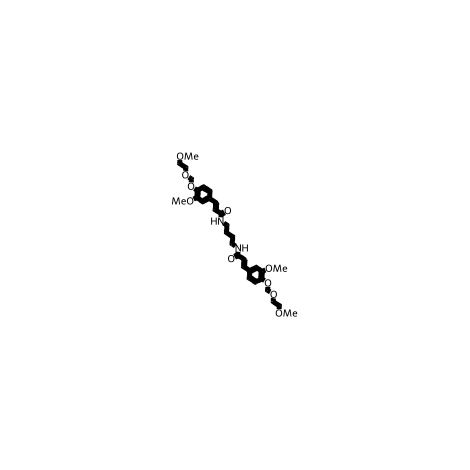 COCCOCOc1ccc(C=CC(=O)NCCCCNC(=O)C=Cc2ccc(OCOCCOC)c(OC)c2)cc1OC